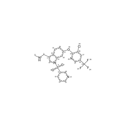 CNCc1cn(S(=O)(=O)c2cccnc2)c2cc(Oc3ncc(C(F)(F)F)cc3Cl)ccc12